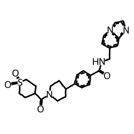 O=C(NCc1ccn2ccnc2c1)c1ccc(C2CCN(C(=O)C3CCS(=O)(=O)CC3)CC2)cc1